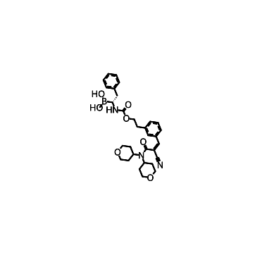 N#CC(=Cc1cccc(CCOC(=O)N[C@@H](Cc2ccccc2)B(O)O)c1)C(=O)N(C1CCOCC1)C1CCOCC1